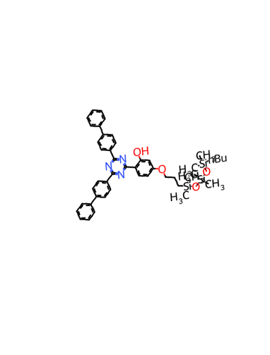 CCCC[Si](C)(C)O[Si](C)(C)O[Si](C)(C)CCCOc1ccc(-c2nc(-c3ccc(-c4ccccc4)cc3)nc(-c3ccc(-c4ccccc4)cc3)n2)c(O)c1